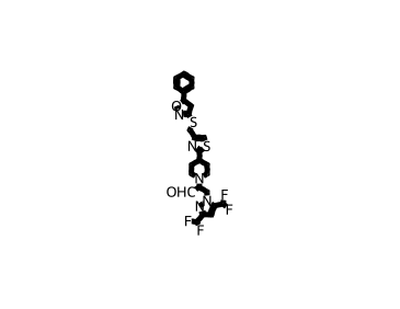 O=CC(Cn1nc(C(F)F)cc1C(F)F)N1CCC(c2nc(CSC3=NOC(c4ccccc4)C3)cs2)CC1